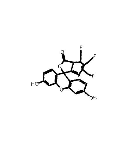 O=C1OC2(C3=C(F)C(F)=C(F)C(F)C13)c1ccc(O)cc1Oc1cc(O)ccc12